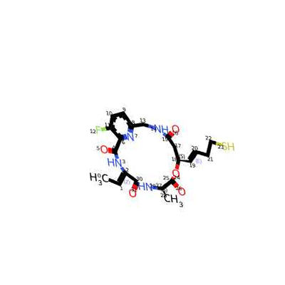 C/C=C1\NC(=O)c2nc(ccc2F)CNC(=O)C[C@@H](/C=C/CCS)OC(=O)[C@H](C)NC1=O